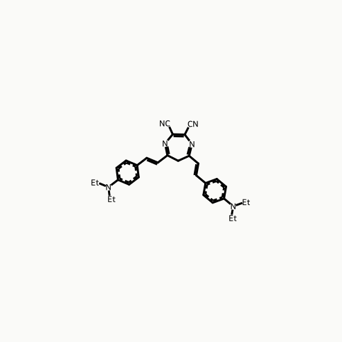 CCN(CC)c1ccc(C=CC2=NC(C#N)=C(C#N)N=C(C=Cc3ccc(N(CC)CC)cc3)C2)cc1